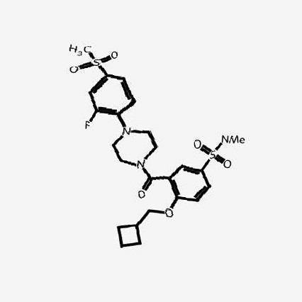 CNS(=O)(=O)c1ccc(OCC2CCC2)c(C(=O)N2CCN(c3ccc(S(C)(=O)=O)cc3F)CC2)c1